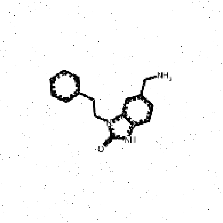 NCc1ccc2[nH]c(=O)n(CCc3ccccc3)c2c1